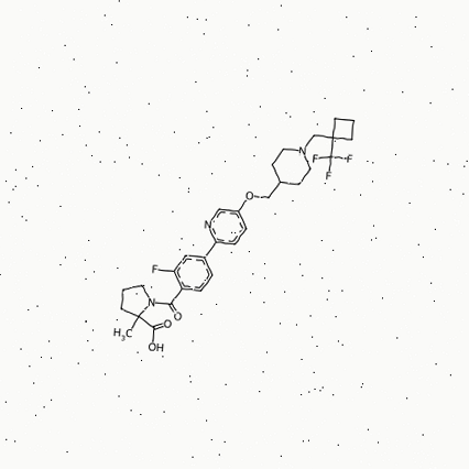 CC1(C(=O)O)CCCN1C(=O)c1ccc(-c2ccc(OCC3CCN(CC4(C(F)(F)F)CCC4)CC3)cn2)cc1F